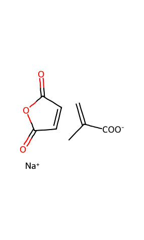 C=C(C)C(=O)[O-].O=C1C=CC(=O)O1.[Na+]